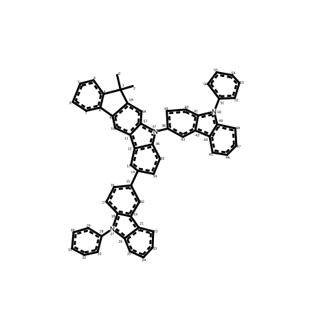 CC1(C)c2ccccc2-c2cc3c4cc(-c5ccc6c(c5)c5ccccc5n6-c5ccccc5)ccc4n(-c4ccc5c(c4)c4ccccc4n5-c4ccccc4)c3cc21